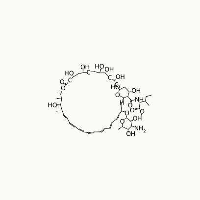 CCC(C)[C@H](NC(=O)[C@H]1[C@@H]2C[C@@H](O[C@@H]3O[C@H](C)[C@@H](O)[C@H](N)[C@@H]3O)/C=C/C=C/C=C/C=C/C=C/C=C/C=C/[C@H](C)[C@@H](O)[C@@H](C)[C@H](C)OC(=O)C[C@H](O)C[C@H](O)CC[C@@H](O)[C@H](O)C[C@H](O)C[C@](O)(C[C@@H]1O)O2)C(=O)OC